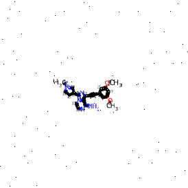 COc1cc(C#Cc2nc(C3CCN(C)C3)n3ccnc(N)c23)cc(OC)c1